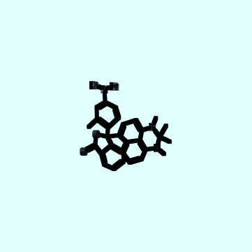 CCN(CC)c1ccc(C2(c3ccc4c5c(cccc35)N(C)C(C)(C)N4C)OC(=O)c3ccccc32)c(C)c1